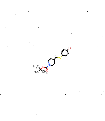 CC(C)(C)OC(=O)N1CCC(CSC2=CCC(Br)C=C2)CC1